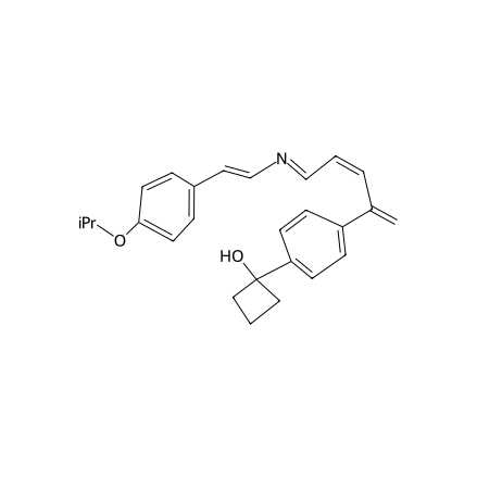 C=C(\C=C/C=N/C=C/c1ccc(OC(C)C)cc1)c1ccc(C2(O)CCC2)cc1